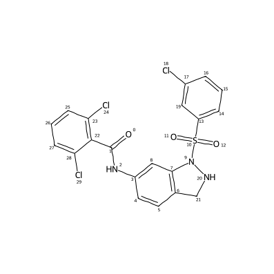 O=C(Nc1ccc2c(c1)N(S(=O)(=O)c1cccc(Cl)c1)NC2)c1c(Cl)cccc1Cl